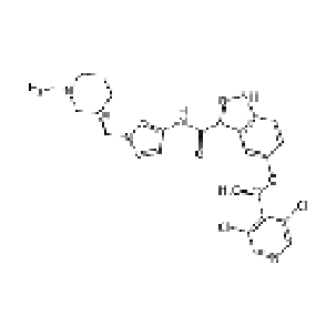 C[C@@H](Oc1ccc2[nH]nc(C(=O)Nc3cnn(C[C@@H]4CCCN(C)C4)c3)c2c1)c1c(Cl)cncc1Cl